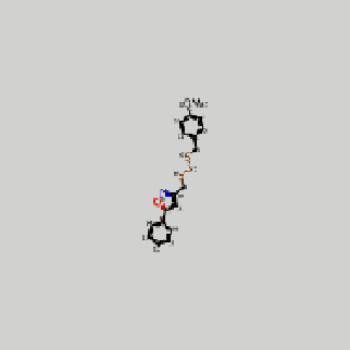 COc1ccc(CSSSCc2cc(-c3ccccc3)on2)cc1